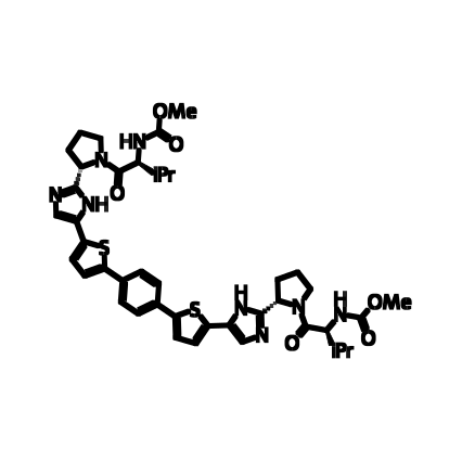 COC(=O)N[C@H](C(=O)N1CCC[C@H]1c1ncc(-c2ccc(-c3ccc(-c4ccc(-c5cnc([C@@H]6CCCN6C(=O)[C@@H](NC(=O)OC)C(C)C)[nH]5)s4)cc3)s2)[nH]1)C(C)C